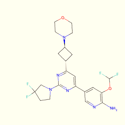 Nc1ncc(-c2cc([C@H]3C[C@H](N4CCOCC4)C3)nc(N3CCC(F)(F)C3)n2)cc1OC(F)F